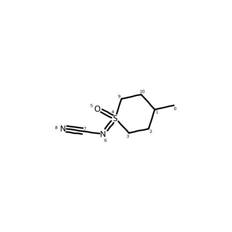 CC1CCS(=O)(=NC#N)CC1